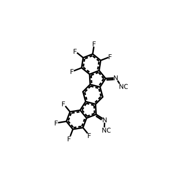 [C-]#[N+]/N=c1/c2cc3/c(=N\[N+]#[C-])c4c(F)c(F)c(F)c(F)c4c3cc2c2c(F)c(F)c(F)c(F)c12